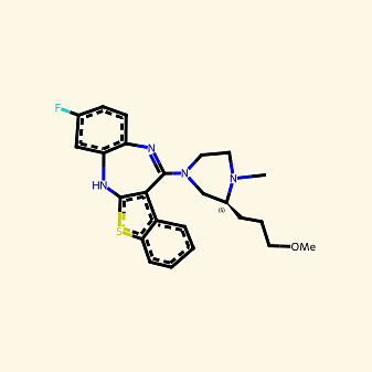 COCCC[C@H]1CN(C2=Nc3ccc(F)cc3Nc3sc4ccccc4c32)CCN1C